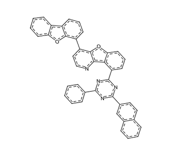 c1ccc(-c2nc(-c3ccc4ccccc4c3)nc(-c3cccc4oc5c(-c6cccc7c6oc6ccccc67)ccnc5c34)n2)cc1